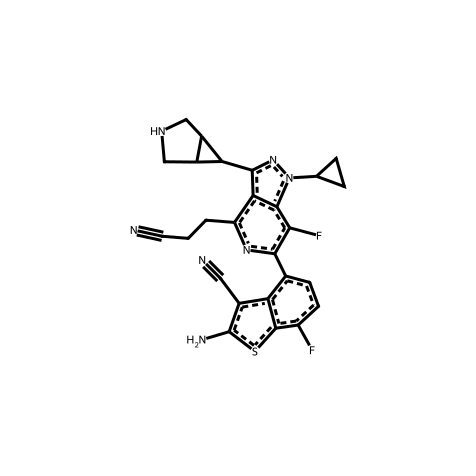 N#CCCc1nc(-c2ccc(F)c3sc(N)c(C#N)c23)c(F)c2c1c(C1C3CNCC31)nn2C1CC1